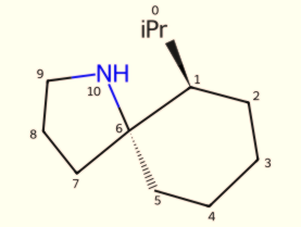 CC(C)[C@H]1CCCC[C@@]12CCCN2